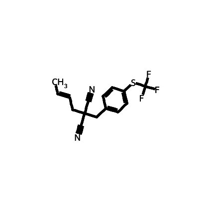 CC=CCC(C#N)(C#N)Cc1ccc(SC(F)(F)F)cc1